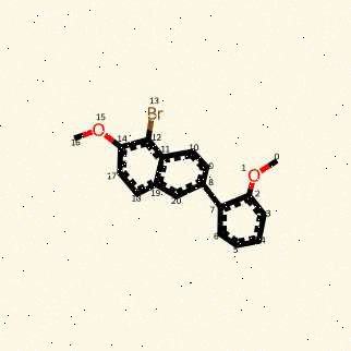 COc1ccccc1-c1ccc2c(Br)c(OC)ccc2c1